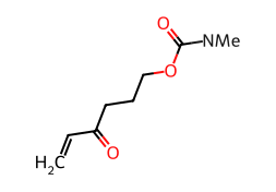 C=CC(=O)CCCOC(=O)NC